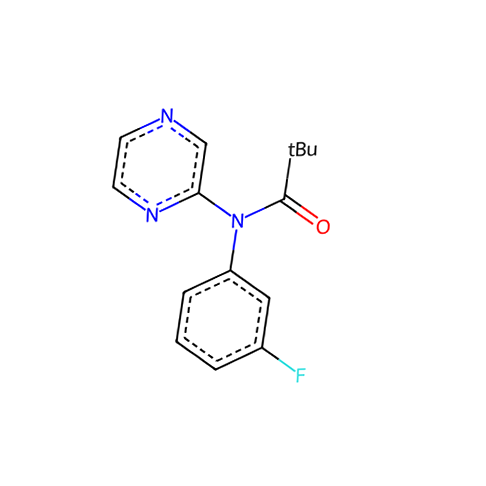 CC(C)(C)C(=O)N(c1cccc(F)c1)c1cnccn1